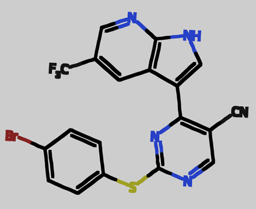 N#Cc1cnc(Sc2ccc(Br)cc2)nc1-c1c[nH]c2ncc(C(F)(F)F)cc12